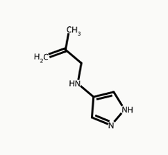 C=C(C)CNc1cn[nH]c1